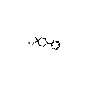 CC1(C(=O)O)CCN(c2ncccn2)CC1